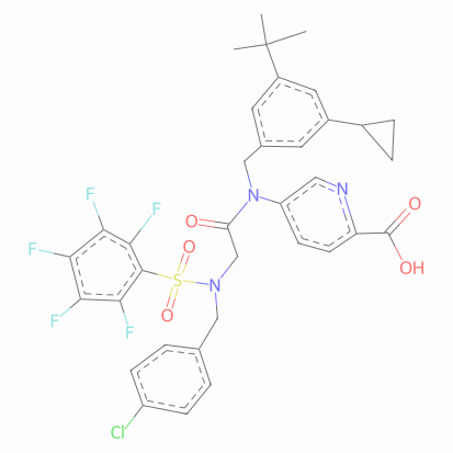 CC(C)(C)c1cc(CN(C(=O)CN(Cc2ccc(Cl)cc2)S(=O)(=O)c2c(F)c(F)c(F)c(F)c2F)c2ccc(C(=O)O)nc2)cc(C2CC2)c1